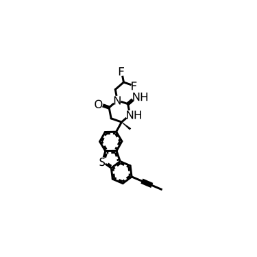 CC#Cc1ccc2sc3ccc([C@]4(C)CC(=O)N(CC(F)F)C(=N)N4)cc3c2c1